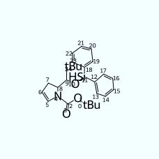 CC(C)(C)OC(=O)N1C=CCC1C(O[SiH](c1ccccc1)c1ccccc1)C(C)(C)C